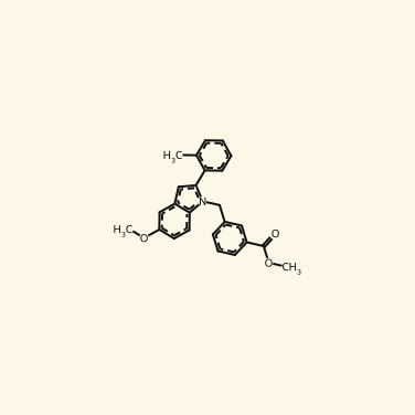 COC(=O)c1cccc(Cn2c(-c3ccccc3C)cc3cc(OC)ccc32)c1